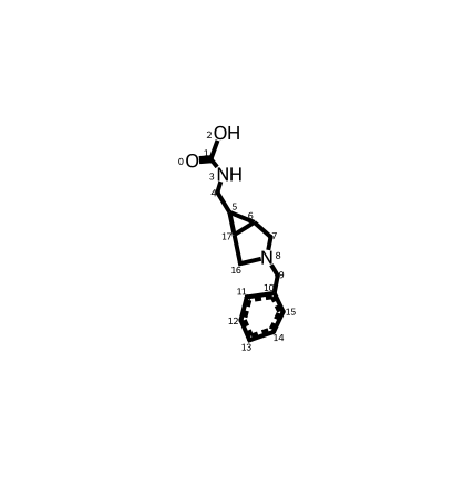 O=C(O)NCC1C2CN(Cc3ccccc3)CC12